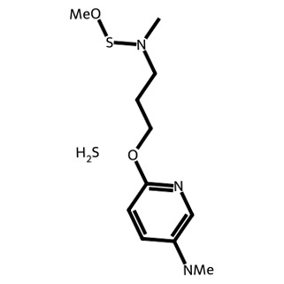 CNc1ccc(OCCCN(C)SOC)nc1.S